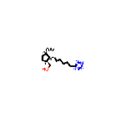 CC(=O)O[C@H]1CC[C@H](CO)[C@H]1CCCCCCc1nnn[nH]1